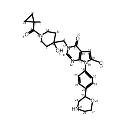 CC1(C(=O)N2CCC(O)(Cn3cnc4c(cc(Cl)n4-c4ccc(C5CNCCO5)cc4)c3=O)CC2)CC1